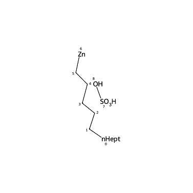 CCCCCCCCCCC[CH2][Zn].O=S(=O)(O)O